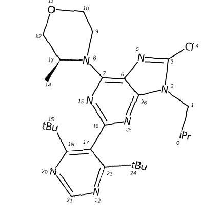 CC(C)Cn1c(Cl)nc2c(N3CCOC[C@@H]3C)nc(-c3c(C(C)(C)C)n[c]nc3C(C)(C)C)nc21